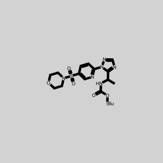 CC(NC(=O)OC(C)(C)C)c1ncnn1-c1ccc(S(=O)(=O)N2CCOCC2)cn1